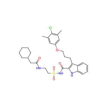 Cc1cc(OCCCc2c(C(=O)NS(=O)(=O)CCNC(=O)CC3CCCCC3)[nH]c3ccccc23)cc(C)c1Cl